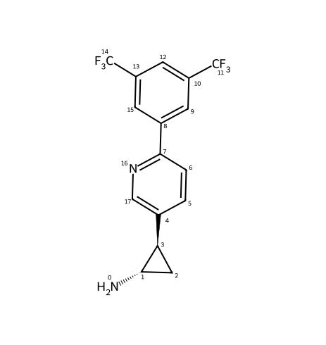 N[C@H]1C[C@@H]1c1ccc(-c2cc(C(F)(F)F)cc(C(F)(F)F)c2)nc1